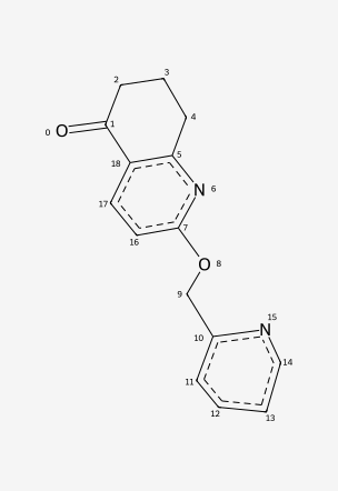 O=C1CCCc2nc(OCc3ccccn3)ccc21